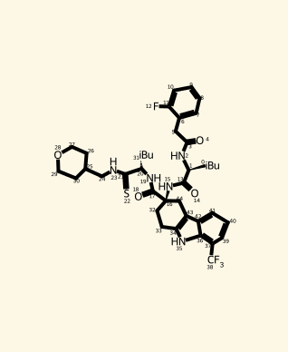 CCC(C)[C@H](NC(=O)Cc1ccccc1F)C(=O)N[C@]1(C(=O)NC(C(=S)NCC2CCOCC2)[C@@H](C)CC)CCc2[nH]c3c(C(F)(F)F)cccc3c2C1